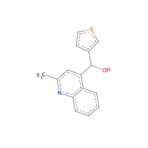 OC(c1ccsc1)c1cc(C(F)(F)F)nc2ccccc12